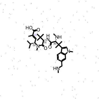 CNCc1ccc2c(C(C)(C)[C@@H](NC)C(=O)N[C@H](C(=O)N(C)[C@H](/C=C(\C)C(=O)O)C(C)C)C(C)(C)C)cn(C)c2c1